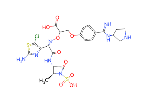 C[C@H]1[C@H](NC(=O)/C(=N\OC(COc2ccc(C(=N)N[C@H]3CCNC3)cc2)C(=O)O)c2nc(N)sc2Cl)C(=O)N1S(=O)(=O)O